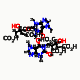 Cn1c(=O)c2c(ncn2C)n(C)c1=O.Cn1cnc2c1c(=O)n(CC(C(=O)O)C(O)(CC(=O)O)C(=O)O)c(=O)n2C.O=C(O)CC(O)(CC(=O)O)C(=O)O